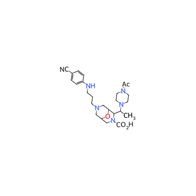 CC(=O)N1CCN(C(C)C2C3CN(CCCNc4ccc(C#N)cc4)CC(CN2C(=O)O)O3)CC1